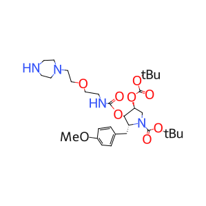 COc1ccc(C[C@@H]2[C@H](OC(=O)NCCOCCN3CCNCC3)[C@@H](OC(=O)OC(C)(C)C)CN2C(=O)OC(C)(C)C)cc1